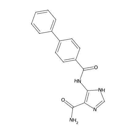 NC(=O)c1nc[nH]c1NC(=O)c1ccc(-c2ccccc2)cc1